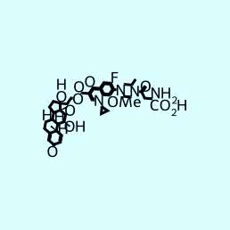 COc1c(N2CCN(C(=O)C[C@@H](N)C(=O)O)C(C)C2)c(F)cc2c(=O)c(C(=O)OCC(=O)[C@]3(O)CC[C@@H]4[C@H]5CCC6=CC(=O)C=C[C@@]6(C)[C@@H]5[C@H](O)C[C@]43C)cn(C3CC3)c12